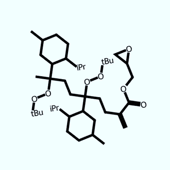 C=C(CCC(CCC(C)(OOC(C)(C)C)C1CC(C)CCC1C(C)C)(OOC(C)(C)C)C1CC(C)CCC1C(C)C)C(=O)OCC1CO1